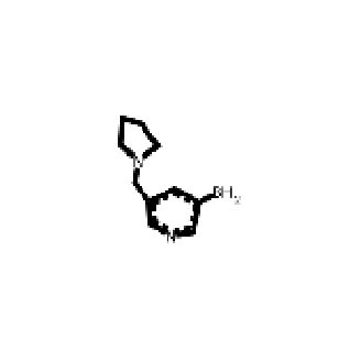 Bc1cncc(CN2CCCC2)c1